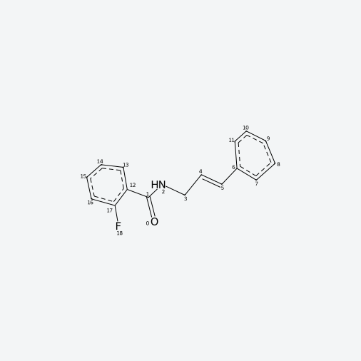 O=C(NCC=Cc1ccccc1)c1ccccc1F